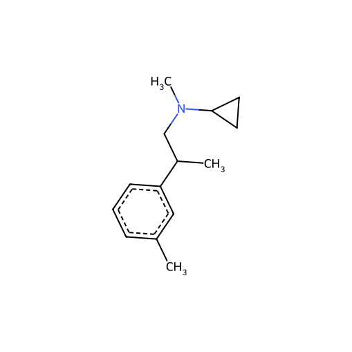 Cc1cccc(C(C)CN(C)C2CC2)c1